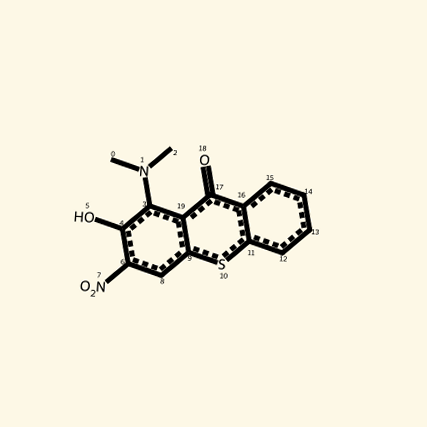 CN(C)c1c(O)c([N+](=O)[O-])cc2sc3ccccc3c(=O)c12